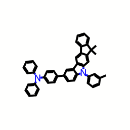 Cc1cccc(-n2c3ccc(-c4ccc(N(c5ccccc5)c5ccccc5)cc4)cc3c3cc4c(cc32)C(C)(C)c2ccccc2-4)c1